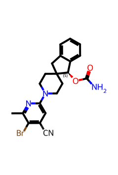 Cc1nc(N2CCC3(CC2)Cc2ccccc2[C@H]3OC(N)=O)cc(C#N)c1Br